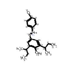 CCC(C)c1cc(/N=N/c2ccc(Cl)cc2)cc(C(C)CC)c1O